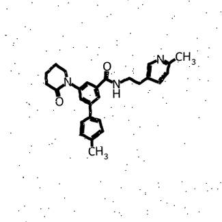 Cc1ccc(-c2cc(C(=O)NCCc3ccc(C)nc3)cc(N3CCCCC3=O)c2)cc1